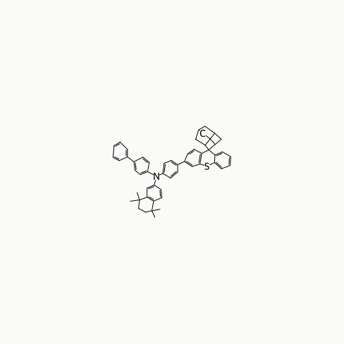 CC1(C)CCC(C)(C)c2cc(N(c3ccc(-c4ccccc4)cc3)c3ccc(-c4ccc5c(c4)Sc4ccccc4C54C5CC6CC7CC4C75C6)cc3)ccc21